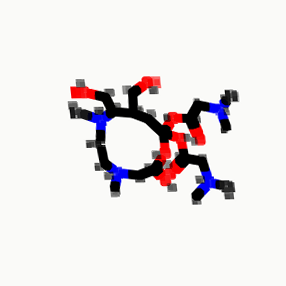 CCN(C)CC(=O)OC1(OC(=O)CN(C)CC)CC(CO)C(CO)N(CC)CCN(C)CC(=O)O1